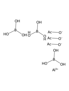 CC(=O)[O-].CC(=O)[O-].CC(=O)[O-].OB(O)O.OB(O)O.OB(O)O.[Al+3]